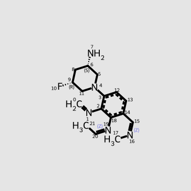 C=Nc1c(N2C[C@@H](N)C[C@@H](F)C2)ccc(/C=N\C)c1/N=C\C